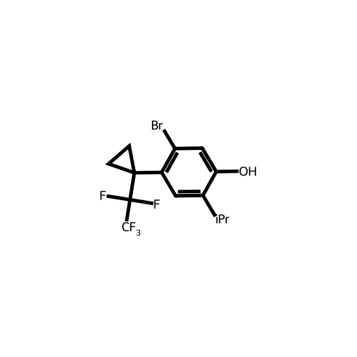 CC(C)c1cc(C2(C(F)(F)C(F)(F)F)CC2)c(Br)cc1O